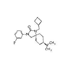 CN(C)[C@H]1CC[C@@]2(CC1)CN(c1cccc(F)c1)C(=O)N2CC1CCC1